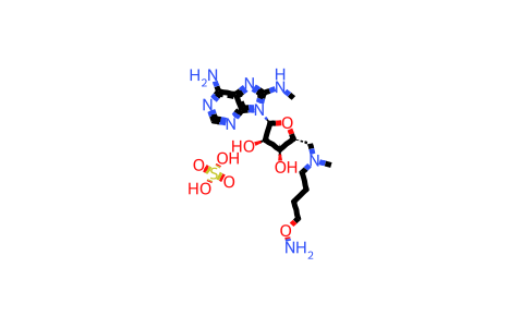 CNc1nc2c(N)ncnc2n1[C@@H]1O[C@H](CN(C)CCCCON)[C@@H](O)[C@H]1O.O=S(=O)(O)O